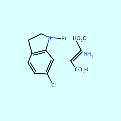 CCN1CCc2ccc(Cl)cc21.N.O=C(O)C=CC(=O)O